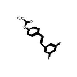 CC(=O)Oc1ccc(/C=C/c2cc(F)cc(F)c2)cc1